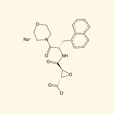 O=C([O-])[C@H]1O[C@@H]1C(=O)N[C@@H](Cc1cccc2ccccc12)C(=O)N1CCOCC1.[Na+]